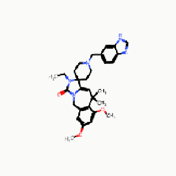 CCN1C(=O)N2Cc3cc(OC)cc(OC)c3C(C)(C)C=C2C12CCN(Cc1ccc3nc[nH]c3c1)CC2